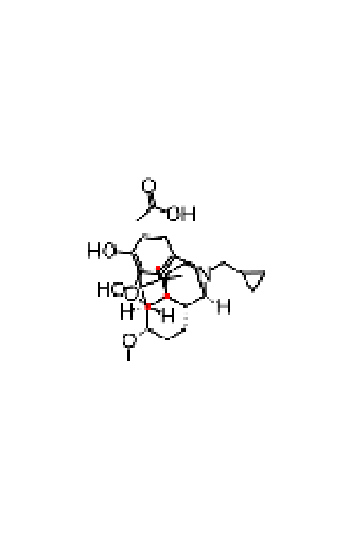 CC(=O)O.CO[C@@]12CC[C@@]3(C[C@@H]1[C@](C)(O)C(C)(C)C)[C@H]1Cc4ccc(O)c5c4[C@@]3(CCN1CC1CC1)[C@H]2O5